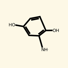 [NH]c1cc(O)ccc1O